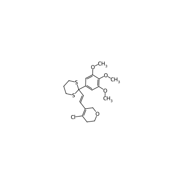 COc1cc(C2(C=CC3=C(Cl)CCOC3)SCCCS2)cc(OC)c1OC